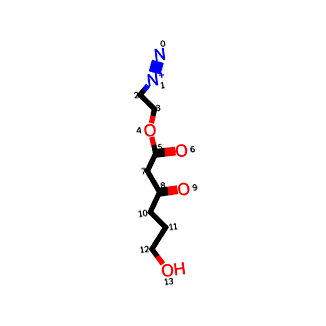 N#[N+]CCOC(=O)CC(=O)CCCO